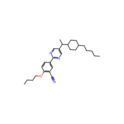 CCCCCC1CCC(C(C)c2cnc(-c3ccc(OCCCC)c(C#N)c3)nc2)CC1